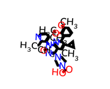 COc1cccc(-c2nc3c(cc2C2CC2)c(N2CCN(C(=O)O)CC2C)nc(=O)n3-c2c(C)ccnc2C(C)C)c1OC